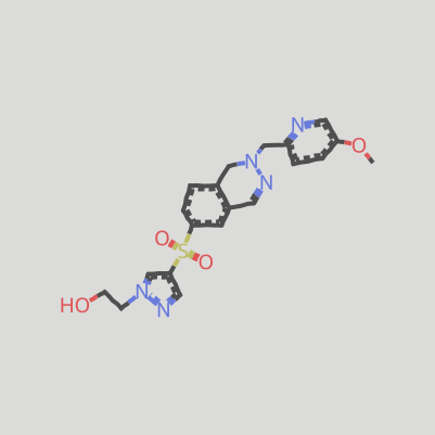 COc1ccc(CN2Cc3ccc(S(=O)(=O)c4cnn(CCO)c4)cc3C=N2)nc1